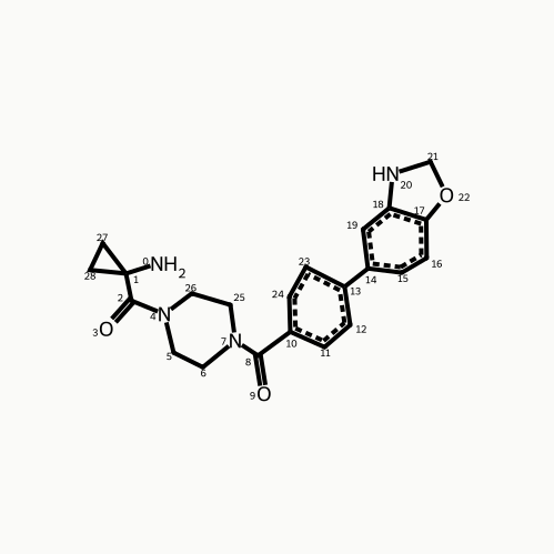 NC1(C(=O)N2CCN(C(=O)c3ccc(-c4ccc5c(c4)NCO5)cc3)CC2)CC1